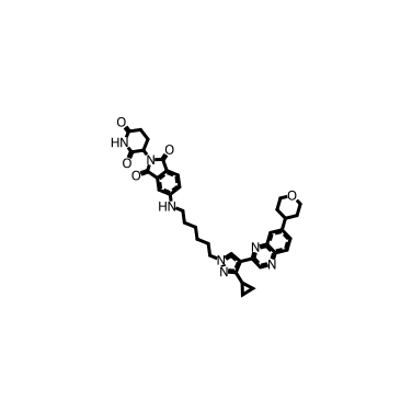 O=C1CCC(N2C(=O)c3ccc(NCCCCCCn4cc(-c5cnc6ccc(C7CCOCC7)cc6n5)c(C5CC5)n4)cc3C2=O)C(=O)N1